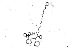 CCCCCCCCCCCCCNC(=O)/C(=C/c1ccccc1[N+](=O)[O-])c1ccccc1